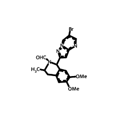 COc1cc2c(cc1OC)C(c1cc3ncc(Br)cn3n1)N(C=O)C(C)C2